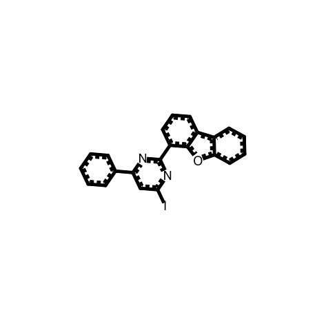 Ic1cc(-c2ccccc2)nc(-c2cccc3c2oc2ccccc23)n1